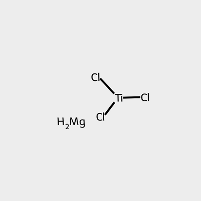 [Cl][Ti]([Cl])[Cl].[MgH2]